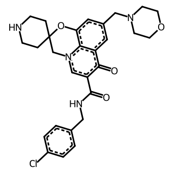 O=C(NCc1ccc(Cl)cc1)c1cn2c3c(cc(CN4CCOCC4)cc3c1=O)OC1(CCNCC1)C2